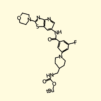 CC(C)(C)OC(=O)NCC1CCN(c2cc(F)cc(C(=O)Nc3cnc4nc(N5CCOCC5)sc4c3)c2)CC1